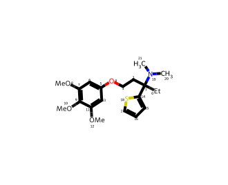 CCC(CCOc1cc(OC)c(OC)c(OC)c1)(c1cccs1)N(C)C